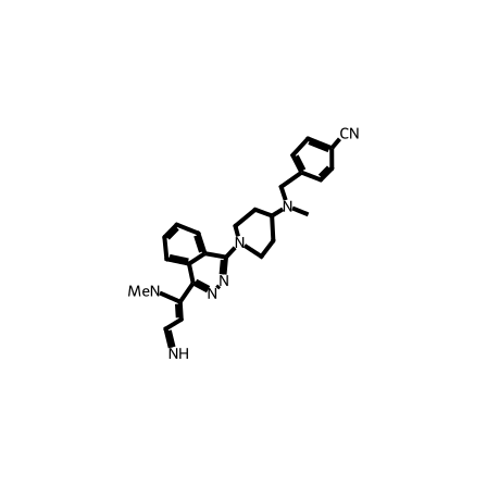 CN/C(=C\C=N)c1nnc(N2CCC(N(C)Cc3ccc(C#N)cc3)CC2)c2ccccc12